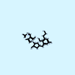 C=C(C)/N=C\c1c(C)cn(C2CC(Cc3cc(C)cc(CCC)c3CC)CC2C)c1C